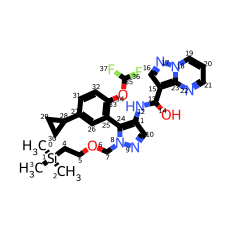 C[Si](C)(C)CCOCn1ncc(NC(O)c2cnn3cccnc23)c1-c1cc(C2CC2)ccc1OC(F)F